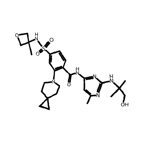 Cc1cc(NC(=O)c2ccc(S(=O)(=O)NC3(C)COC3)cc2N2CCC3(CC2)CC3)nc(NC(C)(C)CO)n1